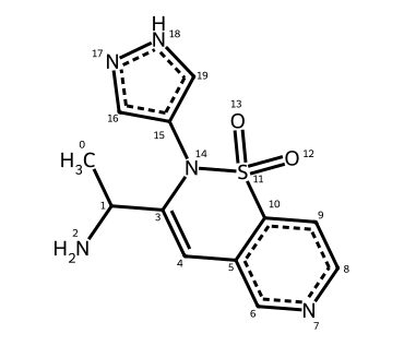 CC(N)C1=Cc2cnccc2S(=O)(=O)N1c1cn[nH]c1